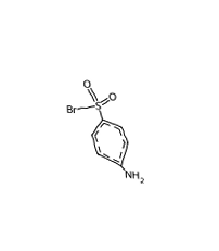 Nc1ccc(S(=O)(=O)Br)cc1